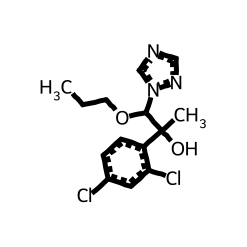 CCCOC(n1cncn1)C(C)(O)c1ccc(Cl)cc1Cl